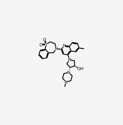 Cc1ccc2nc(N3CCS(=O)(=O)c4ccccc4C3)cc(N3C[C@@H](O)[C@H](N4CCN(C)CC4)C3)c2c1